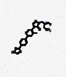 Cc1cc(-c2ccc(-c3nc[nH]n3)cc2)ncc1-n1cnn(C/C(=C/F)CN)c1=O